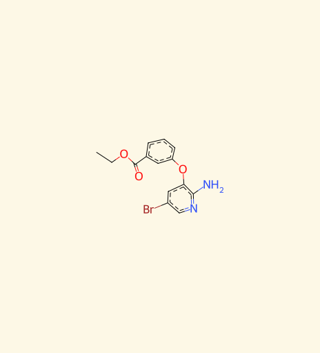 CCOC(=O)c1cccc(Oc2cc(Br)cnc2N)c1